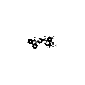 O=C(Nc1ccc(C(=O)N2CCC(F)(F)[C@](O)(CO)c3cc(Cl)ccc32)cn1)c1ccccc1-c1ccccc1